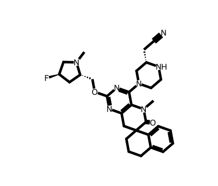 CN1C(=O)C2(CCCc3ccccc32)Cc2nc(OC[C@@H]3C[C@@H](F)CN3C)nc(N3CCN[C@@H](CC#N)C3)c21